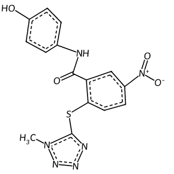 Cn1nnnc1Sc1ccc([N+](=O)[O-])cc1C(=O)Nc1ccc(O)cc1